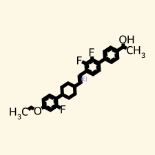 CCOc1ccc(C2CCC(/C=C/c3ccc(-c4ccc(C(C)O)cc4)c(F)c3F)CC2)c(F)c1